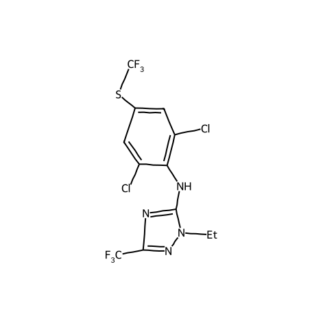 CCn1nc(C(F)(F)F)nc1Nc1c(Cl)cc(SC(F)(F)F)cc1Cl